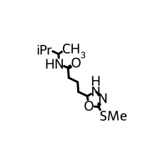 CSC1=NNC(CCCC(=O)NC(C)C(C)C)O1